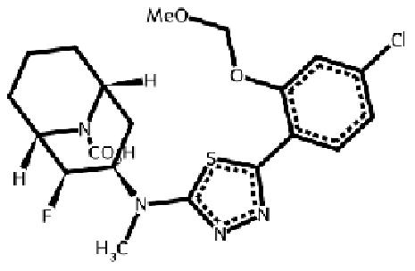 COCOc1cc(Cl)ccc1-c1nnc(N(C)[C@@H]2C[C@H]3CCC[C@@H]([C@@H]2F)N3C(=O)O)s1